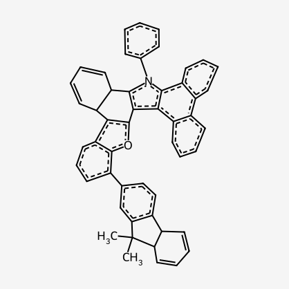 CC1(C)c2cc(-c3cccc4c5c(oc34)-c3c(n(-c4ccccc4)c4c6ccccc6c6ccccc6c34)C3C=CC=CC53)ccc2C2C=CC=CC21